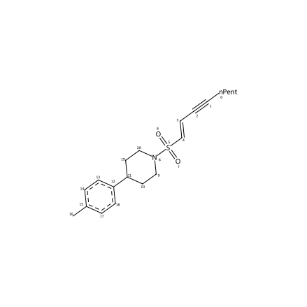 CCCCCC#CC=CS(=O)(=O)N1CCC(c2ccc(C)cc2)CC1